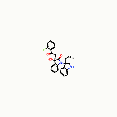 CCC1(N2C(=O)C(O)(CC(=O)c3ccccc3F)c3ccccc32)CNc2ccccc21